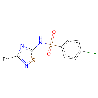 CC(C)c1nsc(NS(=O)(=O)c2ccc(F)cc2)n1